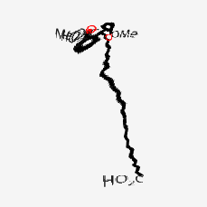 COC(=O)c1ccccc1C(CCCCCCCCCCCCCCCCCCCCCCCCCCCCCC(=O)O)(C(=O)O)c1ccccc1C(=O)OC